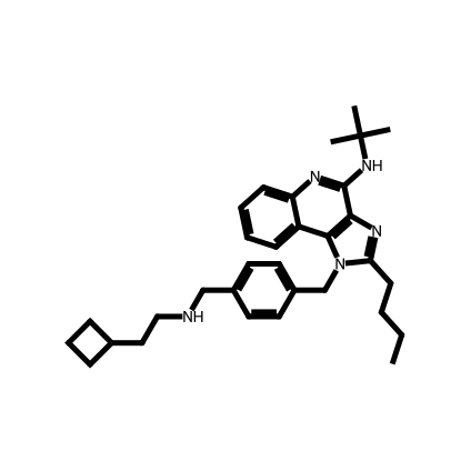 CCCCc1nc2c(NC(C)(C)C)nc3ccccc3c2n1Cc1ccc(CNCCC2CCC2)cc1